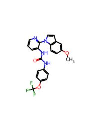 COc1ccc2c(ccn2-c2ncccc2NC(=O)Nc2ccc(OC(F)(F)F)cc2)c1